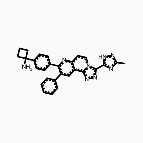 Cc1n[nH]c(-c2nnc3c4cc(-c5ccccc5)c(-c5ccc(C6(N)CCC6)cc5)nc4ccn23)n1